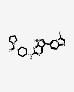 O=C([C@H]1CC[C@@H](Nc2ncc3c(-c4ccc5ncc(F)n5c4)c[nH]c3n2)CC1)N1CCCC1